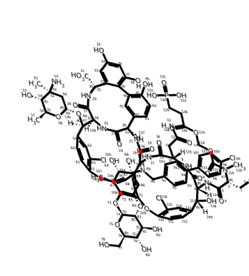 CC(C)C[C@H](C(=O)N[C@H]1C(=O)N[C@@H](CC(N)=O)C(=O)N[C@H]2C(=O)N[C@H]3C(=O)N[C@H](C(=O)N[C@H](C(=O)O)c4cc(O)cc(O)c4-c4cc3ccc4O)[C@H](O[C@H]3C[C@](C)(N)[C@@H](O)[C@H](C)O3)c3ccc(c(Cl)c3)Oc3cc2cc(c3O[C@@H]2O[C@H](CO)[C@@H](O)[C@H](O)[C@H]2O[C@H]2C[C@](C)(NCc3ccc(-c4ccc(Cl)cc4)cc3)[C@@H](O)[C@H](C)O2)Oc2ccc(cc2Cl)[C@H]1O)N(C)C(=O)OCOC(=O)CCP(=O)(O)O